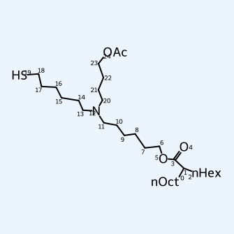 CCCCCCCCC(CCCCCC)C(=O)OCCCCCCN(CCCCCCS)CCCCOC(C)=O